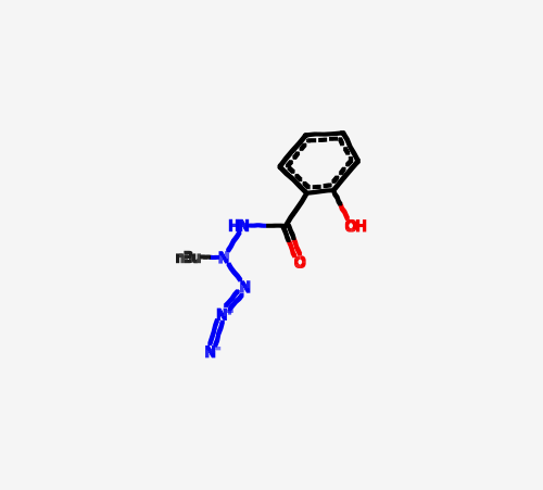 CCCCN(N=[N+]=[N-])NC(=O)c1ccccc1O